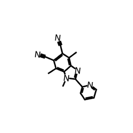 Cc1c(C#N)c(C#N)c(C)c2c1nc(-c1ccccn1)n2C